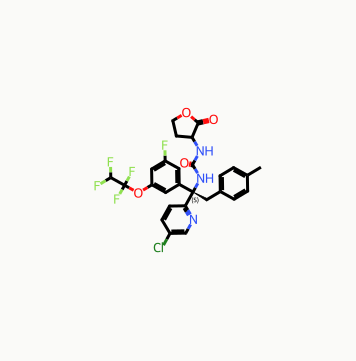 Cc1ccc(C[C@](NC(=O)NC2CCOC2=O)(c2cc(F)cc(OC(F)(F)C(F)F)c2)c2ccc(Cl)cn2)cc1